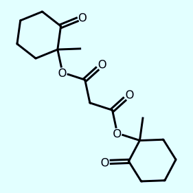 CC1(OC(=O)CC(=O)OC2(C)CCCCC2=O)CCCCC1=O